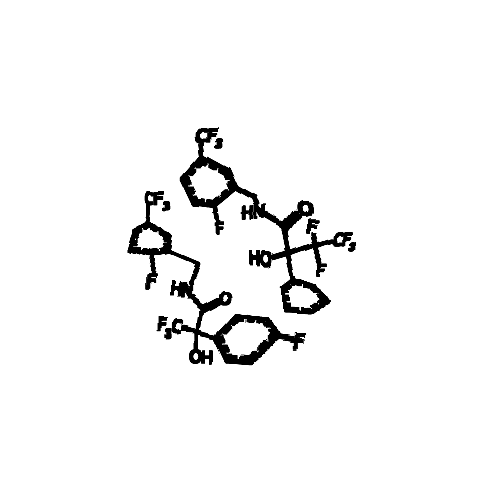 O=C(NCc1cc(C(F)(F)F)ccc1F)C(O)(c1ccccc1)C(F)(F)C(F)(F)F.O=C(NCc1cc(C(F)(F)F)ccc1F)[C@@](O)(c1ccc(F)cc1)C(F)(F)F